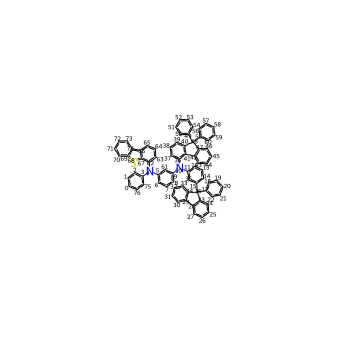 c1ccc(N(c2cccc(N(c3cccc(C4(c5ccccc5)c5ccccc5-c5ccccc54)c3)c3cccc4c3-c3ccccc3C4(c3ccccc3)c3ccccc3)c2)c2cccc3c2sc2ccccc23)cc1